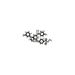 CCCS(=O)(=O)c1ccc(Nc2nc(Nc3ccc(C)cn3)nc3c2ncn3-c2cccc(F)c2)cc1